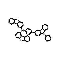 c1ccc(-n2c3ccccc3c3cc(-c4ccc(N(c5ccc6sc7ccccc7c6c5)c5cccc6sc7ccccc7c56)cc4)ccc32)cc1